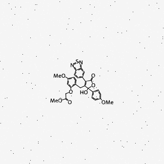 COC(=O)COc1cc(OC)ccc1CC1=C(c2ccc3nsnc3c2)C(=O)OC1(O)c1ccc(OC)cc1